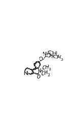 CC(C)CC(N)COc1ccc2c3ccncc3c(=O)n(C(C)C)c2c1